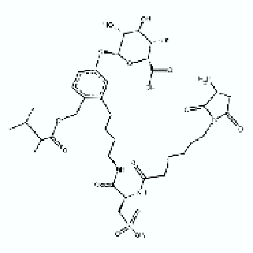 CC(C)C(C)C(=O)OCc1ccc(O[C@@H]2O[C@H](C(=O)O)[C@@H](O)[C@H](O)[C@H]2O)cc1CCCCNC(=O)[C@H](CS(=O)(=O)O)NC(=O)CCCCCN1C(=O)CC(P)C1=O